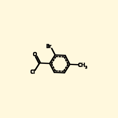 Cc1ccc(C(=O)Cl)c(Br)c1